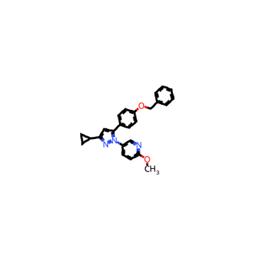 COc1ccc(-n2nc(C3CC3)cc2-c2ccc(OCc3ccccc3)cc2)cn1